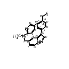 Cc1ccc(N(C)Cc2ccn3ncc(-c4ccc(CF)cc4)c3c2)nc1